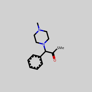 CSC(=O)C(c1ccccc1)N1CCN(C)CC1